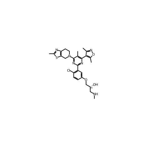 CNC[C@@H](O)COc1ccc(Cl)c(-c2nc(-c3c(C)noc3C)c(C)c(N3CCc4nc(C)sc4C3)n2)c1